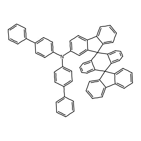 c1ccc(-c2ccc(N(c3ccc(-c4ccccc4)cc3)c3ccc4c(c3)C3(c5ccccc5-4)c4ccccc4C4(c5ccccc5-c5ccccc54)c4ccccc43)cc2)cc1